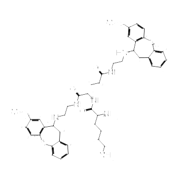 CSc1ccc2c(c1)C(NCCNC(=O)CC[C@H](NC(=O)C(N)CCCCN)C(=O)NCCNC1Cc3ccccc3Sc3ccc(SC)cc31)Cc1ccccc1S2